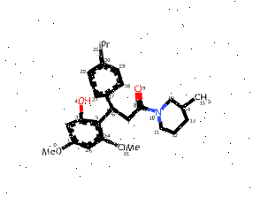 COc1cc(O)c(C(CC(=O)N2CCCC(C)C2)c2ccc(C(C)C)cc2)c(OC)c1